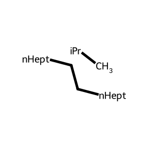 CC(C)C.CCCCCCCCCCCCCCCC